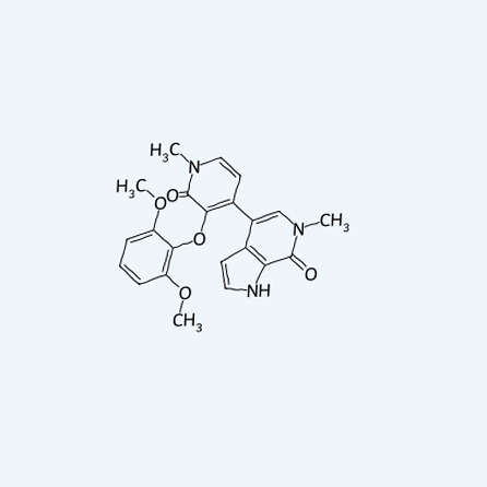 COc1cccc(OC)c1Oc1c(-c2cn(C)c(=O)c3[nH]ccc23)ccn(C)c1=O